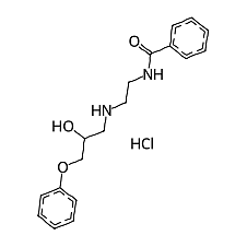 Cl.O=C(NCCNCC(O)COc1ccccc1)c1ccccc1